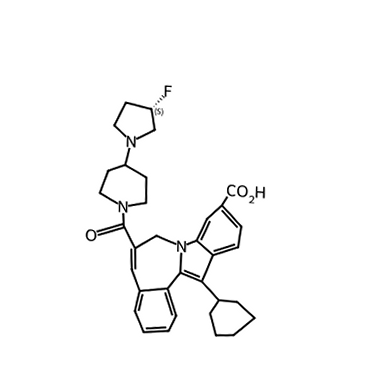 O=C(O)c1ccc2c(C3CCCCC3)c3n(c2c1)CC(C(=O)N1CCC(N2CC[C@H](F)C2)CC1)=Cc1ccccc1-3